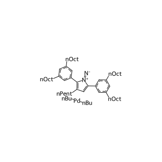 CCCCCCCCc1cc(CCCCCCCC)cc(C2=CC(CCCCC)=C(c3cc(CCCCCCCC)cc(CCCCCCCC)c3)[N+]2=[N-])c1.CCC[CH2][Pd][CH2]CCC